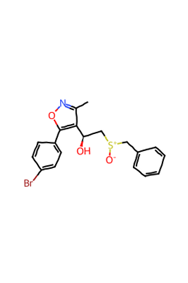 Cc1noc(-c2ccc(Br)cc2)c1[C@H](O)C[S+]([O-])Cc1ccccc1